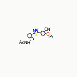 CC(=O)N[C@@H]1CCc2c(-c3nnc(-c4ccc(OC(C)C)c(C#N)c4)s3)cccc21